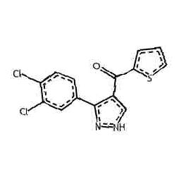 O=C(c1cccs1)c1c[nH]nc1-c1ccc(Cl)c(Cl)c1